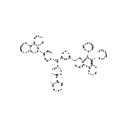 c1ccc(-c2c(-c3ccccc3)c3cc(-c4cccc(N(c5ccc(-c6cc7ccccc7c7ccccc67)cc5)c5ccc6c(ccc7ccccc76)c5)c4)ccc3c3ccccc23)cc1